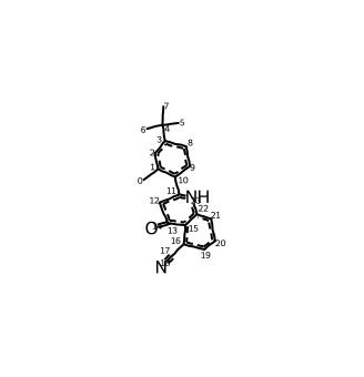 Cc1cc(C(C)(C)C)ccc1-c1cc(=O)c2c(C#N)cccc2[nH]1